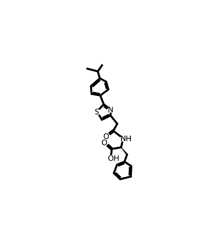 CC(C)c1ccc(-c2nc(CC(=O)N[C@@H](Cc3ccccc3)C(=O)O)cs2)cc1